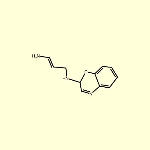 N/C=C/CNC1C=Nc2ccccc2O1